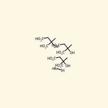 CC(O)(CC(=O)O)C(=O)O.CC(O)(CC(=O)O)C(=O)O.CC(O)(CC(=O)O)C(=O)O.CCC[CH2][Sn]